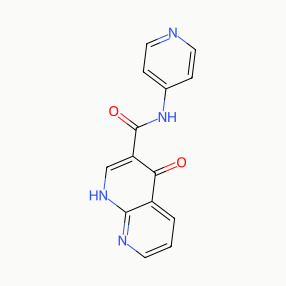 O=C(Nc1ccncc1)c1c[nH]c2ncccc2c1=O